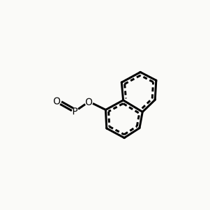 O=POc1cccc2ccccc12